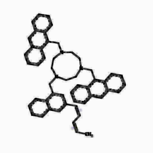 C/C=C\C=C/c1cc(CN2CCN(Cc3c4ccccc4cc4ccccc34)CCN(Cc3c4ccccc4cc4ccccc34)CC2)c2ccccc2c1